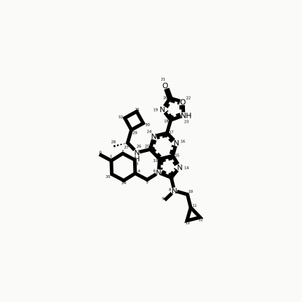 CC1CCC(Cn2c(N(C)CC3CC3)nc3nc(-c4nc(=O)o[nH]4)nc(N[C@H](C)C4CCC4)c32)CC1